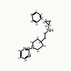 c1ccc([C@@H]2C[C@H]2NCCC2CCN(c3ncccn3)CC2)cc1